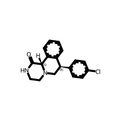 O=C1NCCN2C[C@H](c3ccc(Cl)cc3)c3ccccc3[C@@H]12